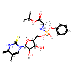 C=C1NC(=S)N([C@H]2OC(COP(=O)(N[C@@H](C)C(=O)OC(C)C)Oc3ccccc3)[C@@H](O)C2O)C=C1C